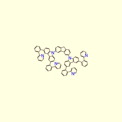 c1ccc(-c2ccccc2-c2ccc3c(c2)c2cc(-c4ccccc4-c4ccccn4)ccc2n3-c2ccc3c(c2)-c2cc(-n4c5ccc(-c6ccccc6-c6ccccn6)cc5c5cc(-c6ccccc6-c6ccccn6)ccc54)ccc2C3)nc1